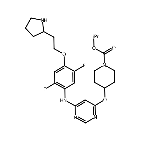 CC(C)OC(=O)N1CCC(Oc2cc(Nc3cc(F)c(OCCC4CCCN4)cc3F)ncn2)CC1